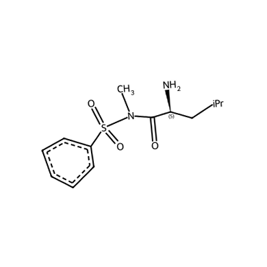 CC(C)C[C@H](N)C(=O)N(C)S(=O)(=O)c1ccccc1